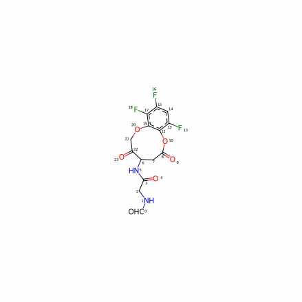 O=CNCC(=O)NC1CC(=O)Oc2c(F)cc(F)c(F)c2OCC1=O